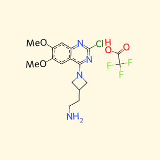 COc1cc2nc(Cl)nc(N3CC(CCN)C3)c2cc1OC.O=C(O)C(F)(F)F